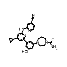 Cl.N#Cc1ccnc(Nc2cc(C3CC3)cc(-c3cccc(N4CCCN(C(N)=O)CC4)c3)n2)c1